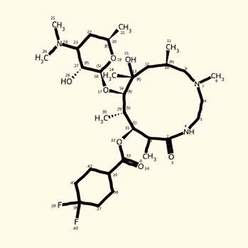 CC1C(=O)NCCN(C)C[C@H](C)C[C@@](C)(O)[C@H](O[C@@H]2O[C@H](C)CC(N(C)C)[C@H]2O)[C@@H](C)[C@@H]1OC(=O)C1CCC(F)(F)CC1